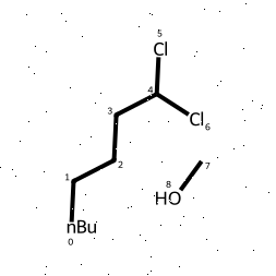 CCCCCCCC(Cl)Cl.CO